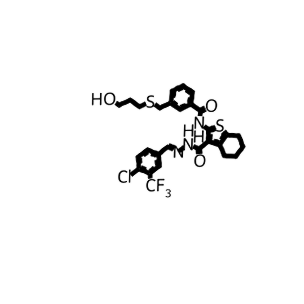 O=C(Nc1sc2c(c1C(=O)N/N=C/c1ccc(Cl)c(C(F)(F)F)c1)CCCC2)c1cccc(CSCCCO)c1